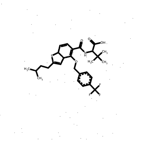 CC(C)CCC1=CC2C(OCc3ccc(C(F)(F)F)cc3)=C(C(=O)NC(C(=O)O)C(C)(C)C)C=CC2S1